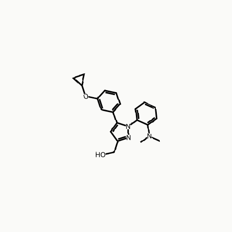 CN(C)c1ccccc1-n1nc(CO)cc1-c1cccc(OC2CC2)c1